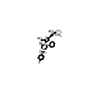 CC(C)(C)C#Cc1cc(N2C(=O)CN(S(=O)(=O)c3ccc(F)cc3)C[C@H]2C2CCCCC2)c(C(=O)O)s1